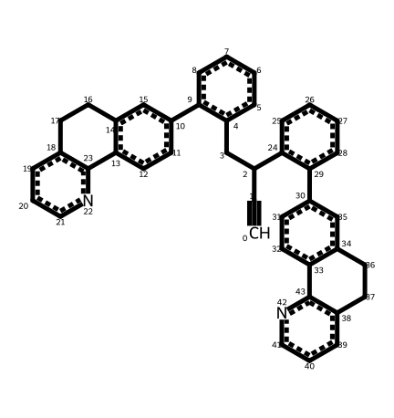 C#CC(Cc1ccccc1-c1ccc2c(c1)CCc1cccnc1-2)c1ccccc1-c1ccc2c(c1)CCc1cccnc1-2